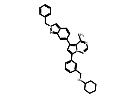 Nc1ncnn2c(-c3cccc(CNC4CCCCC4)c3)cc(-c3ccc4cn(Cc5ccccc5)nc4c3)c12